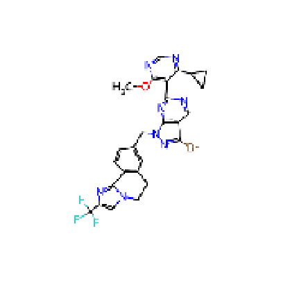 COc1ncnc(C2CC2)c1-c1ncc2c(Br)nn(Cc3ccc4c(c3)CCn3cc(C(F)(F)F)nc3-4)c2n1